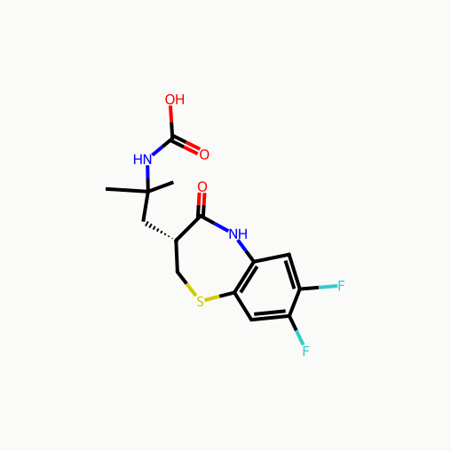 CC(C)(C[C@H]1CSc2cc(F)c(F)cc2NC1=O)NC(=O)O